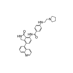 O=C(Nc1ccc(-c2cccc3ncccc23)c2c1C(=O)NC2)c1ccc(NCCN2CCCC2)cc1